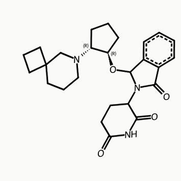 O=C1CCC(N2C(=O)c3ccccc3C2O[C@@H]2CCC[C@H]2N2CCCC3(CCC3)C2)C(=O)N1